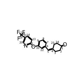 O=C1CCC(=Cc2cccc(Oc3ccc(C(F)(F)F)cn3)c2)CC1